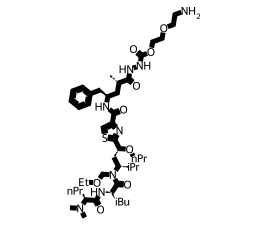 CCCO[C@H](C[C@H](C(C)C)N(COCC)C(=O)[C@@H](NC(=O)[C@@H](CCC)N(C)C)[C@@H](C)CC)c1nc(C(=O)N[C@@H](Cc2ccccc2)C[C@H](C)C(=O)NNC(=O)OCCOCCN)cs1